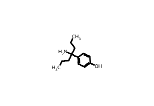 CCCC(N)(CCC)c1ccc(O)cc1